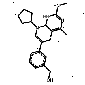 CNC1=NC(C)=C2CC(c3cccc(CO)c3)=CN(C3CCCC3)C2N1